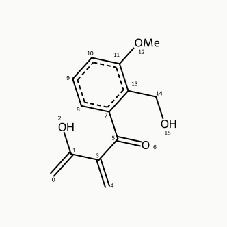 C=C(O)C(=C)C(=O)c1cccc(OC)c1CO